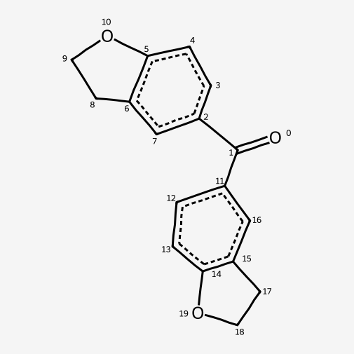 O=C(c1ccc2c(c1)CCO2)c1ccc2c(c1)CCO2